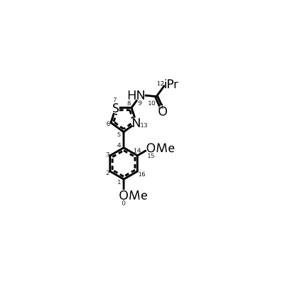 COc1ccc(-c2csc(NC(=O)C(C)C)n2)c(OC)c1